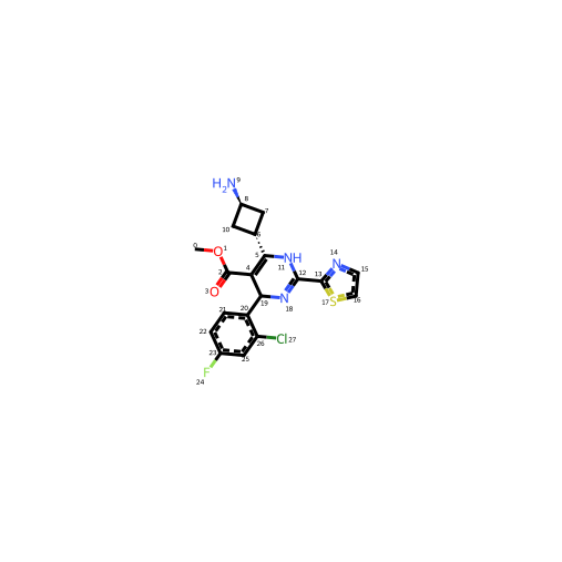 COC(=O)C1=C([C@H]2C[C@H](N)C2)NC(c2nccs2)=NC1c1ccc(F)cc1Cl